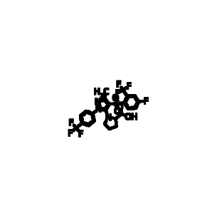 Cc1nn(-c2ccc(C(F)(F)F)cc2)c(N2CCCC2C(=O)O)c1S(=O)(=O)c1ccc(F)cc1C(F)(F)F